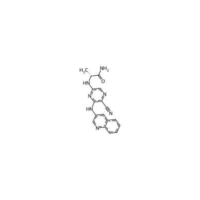 C[C@@H](Nc1cnc(C#N)c(Nc2cnc3ccccc3c2)n1)C(N)=O